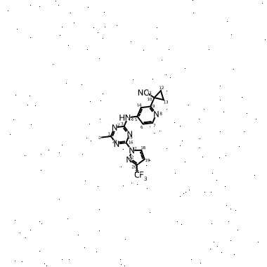 Cc1nc(Nc2ccnc(C3(C#N)CC3)c2)nc(-n2ccc(C(F)(F)F)n2)n1